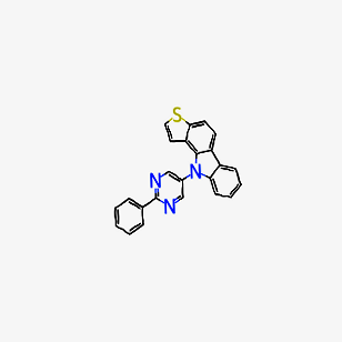 c1ccc(-c2ncc(-n3c4ccccc4c4ccc5sccc5c43)cn2)cc1